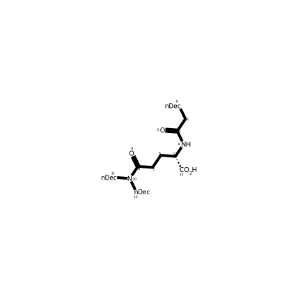 CCCCCCCCCCCC(=O)N[C@@H](CCC(=O)N(CCCCCCCCCC)CCCCCCCCCC)C(=O)O